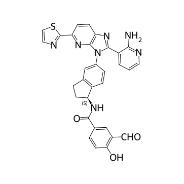 Nc1ncccc1-c1nc2ccc(-c3nccs3)nc2n1-c1ccc2c(c1)CC[C@@H]2NC(=O)c1ccc(O)c(C=O)c1